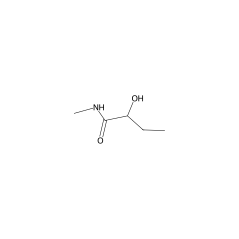 CCC(O)C(=O)NC